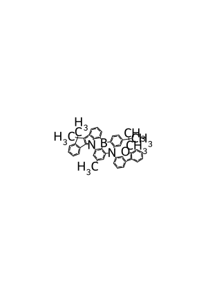 Cc1cc2c3c(c1)-n1c4c(c5cccc(c51)B3c1ccc(C(C)(C)C)cc1N2c1cccc2c1oc1ccccc12)C(C)(C)c1ccccc1-4